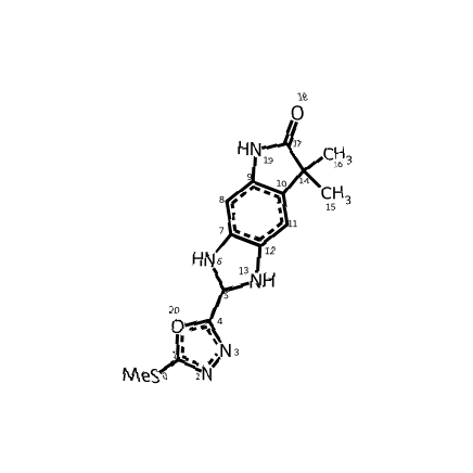 CSc1nnc(C2Nc3cc4c(cc3N2)C(C)(C)C(=O)N4)o1